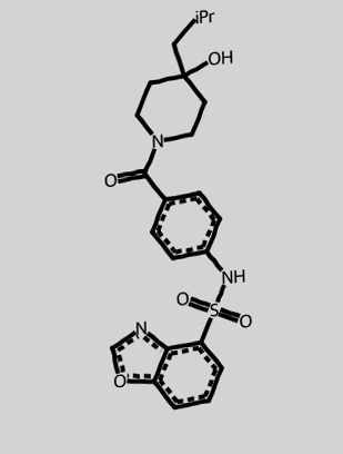 CC(C)CC1(O)CCN(C(=O)c2ccc(NS(=O)(=O)c3cccc4ocnc34)cc2)CC1